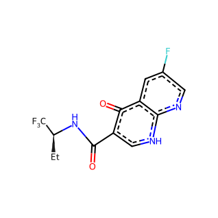 CC[C@H](NC(=O)c1c[nH]c2ncc(F)cc2c1=O)C(F)(F)F